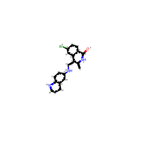 C=c1[nH]c(=O)c2ccc(Br)cc2/c1=C/Nc1ccc2ncccc2c1